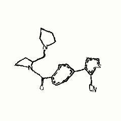 N#Cc1sccc1-c1ccc(C(=O)N2CCCC2CN2CCCC2)cc1